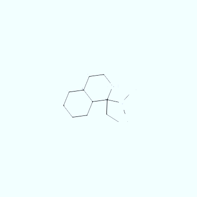 CCC1([SiH](Cl)Cl)NCCC2CCCCC21